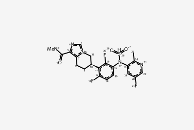 CNC(=O)c1ncn2c1CC[C@H](c1c(F)ccc(N(c3cc(F)cnc3C)[SH](=O)=O)c1F)C2